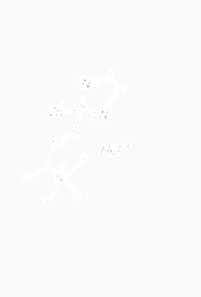 CC(OC[C]1([Zn])N=CC=N1)[Si](C)(C)C.Cl